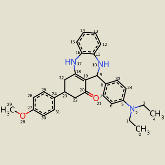 CCN(CC)c1ccc(C2Nc3ccccc3NC3=C2C(=O)CC(c2ccc(OC)cc2)C3)cc1